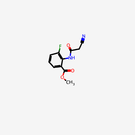 COC(=O)c1cccc(F)c1NC(=O)CC#N